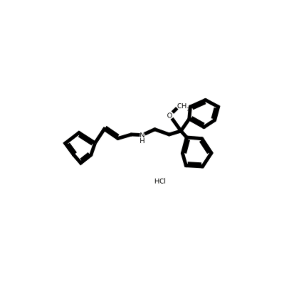 COC(CCNC/C=C/c1ccccc1)(c1ccccc1)c1ccccc1.Cl